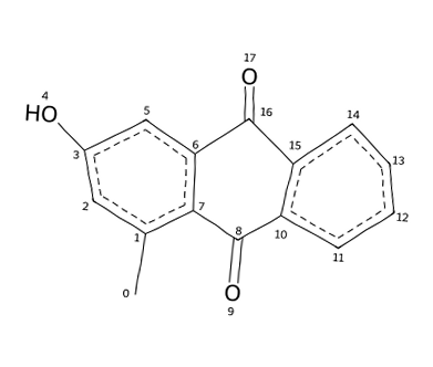 Cc1cc(O)cc2c1C(=O)c1ccccc1C2=O